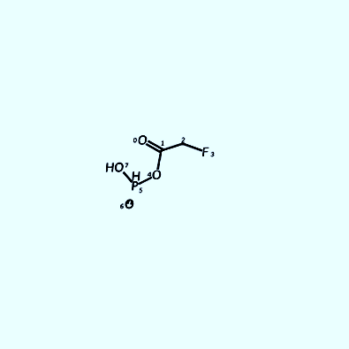 O=C(CF)O[PH](=O)O